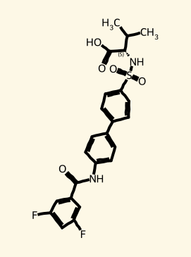 CC(C)[C@H](NS(=O)(=O)c1ccc(-c2ccc(NC(=O)c3cc(F)cc(F)c3)cc2)cc1)C(=O)O